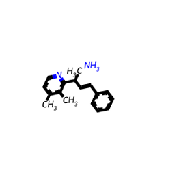 Cc1ccnc(C(C)C=Cc2ccccc2)c1C.N